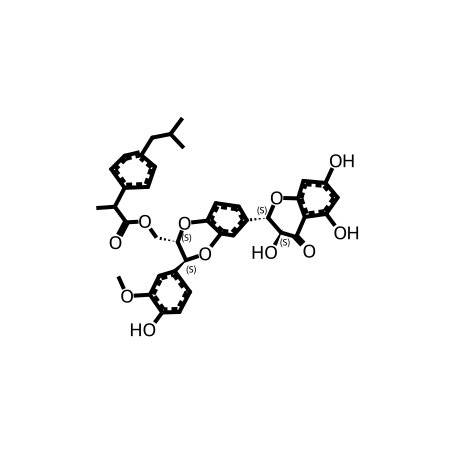 COc1cc([C@@H]2Oc3cc([C@@H]4Oc5cc(O)cc(O)c5C(=O)[C@H]4O)ccc3O[C@H]2COC(=O)C(C)c2ccc(CC(C)C)cc2)ccc1O